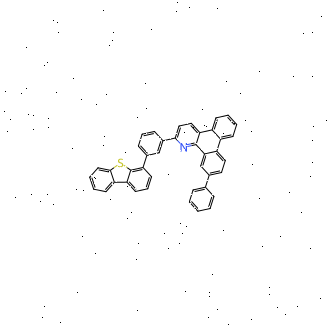 c1ccc(-c2ccc3c4ccccc4c4ccc(-c5cccc(-c6cccc7c6sc6ccccc67)c5)nc4c3c2)cc1